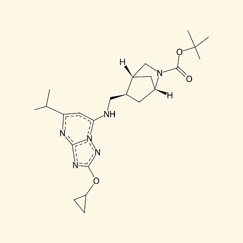 CC(C)c1cc(NC[C@@H]2C[C@@H]3C[C@H]2CN3C(=O)OC(C)(C)C)n2nc(OC3CC3)nc2n1